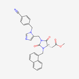 COC(=O)C[C@H]1C(=O)N(Cc2cncn2Cc2ccc(C#N)cc2)C(=O)N1Cc1cccc2ccccc12